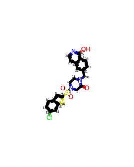 O=C1CN(S(=O)(=O)c2cc3ccc(Cl)cc3s2)CCN1Cc1ccc2c(O)nccc2c1